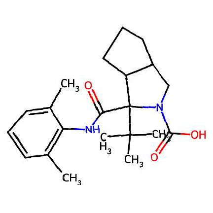 Cc1cccc(C)c1NC(=O)C1(C(C)(C)C)C2CCCC2CN1C(=O)O